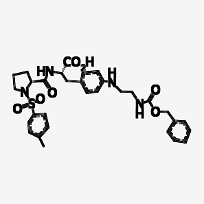 Cc1ccc(S(=O)(=O)N2CCC[C@H]2C(=O)N[C@@H](Cc2ccc(NCCNC(=O)OCc3ccccc3)cc2)C(=O)O)cc1